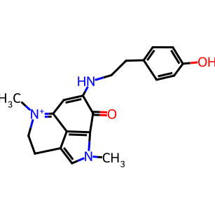 Cn1cc2c3c1C(=O)C(NCCc1ccc(O)cc1)=CC3=[N+](C)CC2